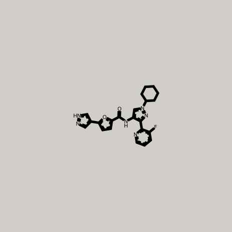 O=C(Nc1cn(C2CCCCC2)nc1-c1ncccc1F)c1ccc(-c2cn[nH]c2)o1